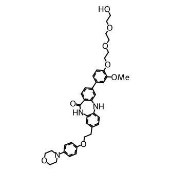 COc1cc(-c2ccc3c(c2)Nc2ccc(CCOc4ccc(N5CCOCC5)cc4)cc2NC3=O)ccc1OCCOCCOCCO